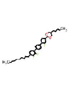 C/C=C/CCC1COC(c2ccc(-c3ccc(-c4ccc(CCCCCCCCCC)c(F)c4F)cc3)c(F)c2)OC1